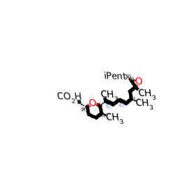 CCC[C@@H](C)[C@H]1OC1(C)C[C@H](C)/C=C/C=C(\C)[C@H]1O[C@@H](CC(=O)O)CC[C@@H]1C